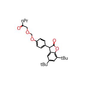 CCCC(=O)COCOc1ccc(C2C(=O)Oc3c2cc(C(C)(C)C)cc3C(C)(C)C)cc1